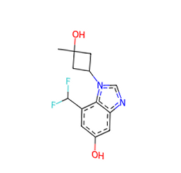 CC1(O)CC(n2cnc3cc(O)cc(C(F)F)c32)C1